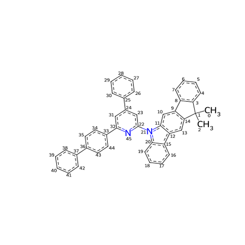 CC1(C)c2ccccc2-c2cc3c(cc21)c1ccccc1n3-c1cc(-c2ccccc2)cc(-c2ccc(-c3ccccc3)cc2)n1